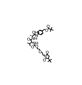 CC(C)[C@H](NC(=O)OCCOCCN1C(=O)CC(C(C)(C)C)C1=O)C(=O)N[C@@H](C)C(=O)Nc1ccc(COC(=O)C(C)(C)C)cc1